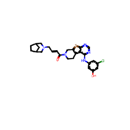 O=C(C=CCN1CC2CCC(C2)C1)N1CCc2c(sc3ncnc(Nc4cc(O)cc(Cl)c4)c23)C1